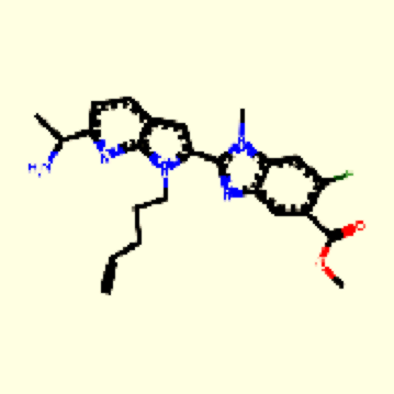 C=CCCCn1c(-c2nc3cc(C(=O)OC)c(F)cc3n2C)cc2ccc(C(C)N)nc21